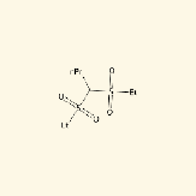 CCCC(S(=O)(=O)CC)S(=O)(=O)CC